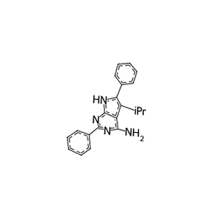 CC(C)c1c(-c2ccccc2)[nH]c2nc(-c3ccccc3)nc(N)c12